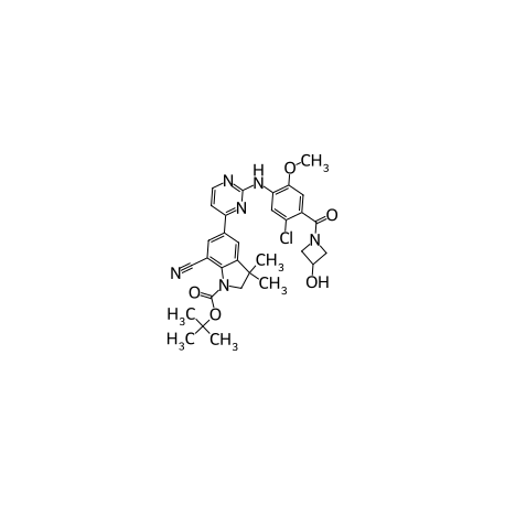 COc1cc(C(=O)N2CC(O)C2)c(Cl)cc1Nc1nccc(-c2cc(C#N)c3c(c2)C(C)(C)CN3C(=O)OC(C)(C)C)n1